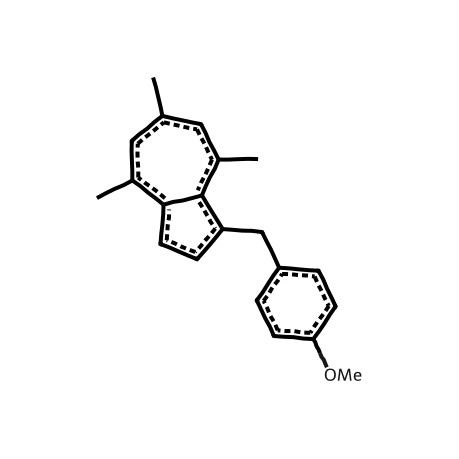 COc1ccc(Cc2ccc3c(C)cc(C)cc(C)c2-3)cc1